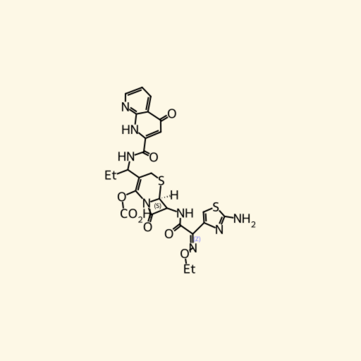 CCO/N=C(\C(=O)NC1C(=O)N2C(OC(=O)O)=C(C(CC)NC(=O)c3cc(=O)c4cccnc4[nH]3)CS[C@@H]12)c1csc(N)n1